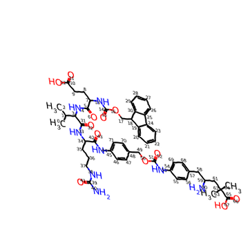 CC(C)C(NC(=O)C(CCC(=O)O)NC(=O)OCC1c2ccccc2-c2ccccc21)C(=O)NC(CCCNC(N)=O)C(=O)Nc1ccc(COC(=O)Nc2ccc(CC(N)CC(C)(C)C(=O)O)cc2)cc1